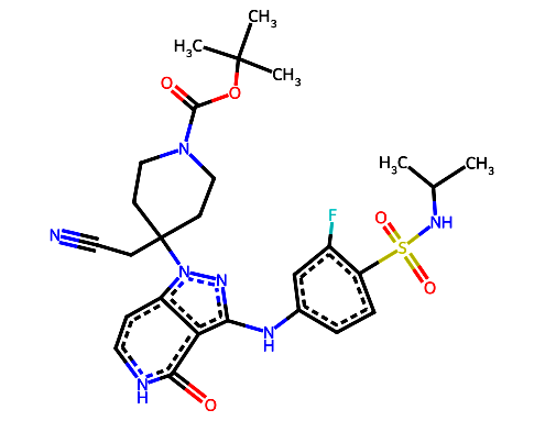 CC(C)NS(=O)(=O)c1ccc(Nc2nn(C3(CC#N)CCN(C(=O)OC(C)(C)C)CC3)c3cc[nH]c(=O)c23)cc1F